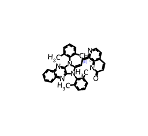 Cc1cccc(C)c1N1C(=C/C=c2/nccc3c2=NC(=O)C=C3)N(c2c(C)cccc2C)c2nc3ccccc3nc21